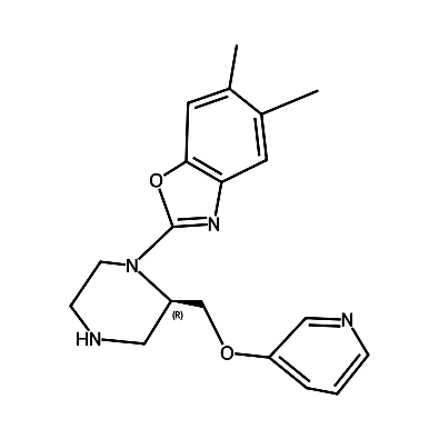 Cc1cc2nc(N3CCNC[C@@H]3COc3cccnc3)oc2cc1C